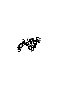 CC(=O)N1CCC(C(=O)N2C[C@@H](N(C)C(=O)N(C)c3cc(C(F)(F)F)cc(C(F)(F)F)c3)[C@H](c3ccc(F)cn3)C2)CC1